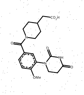 COc1ccc(C(=O)N2CCC(CC(=O)O)CC2)cc1N1CCC(=O)NC1=O